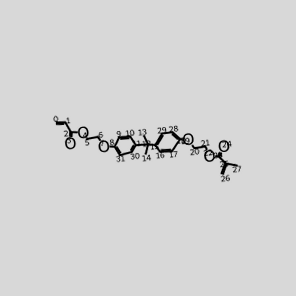 C=CC(=O)OCCOc1ccc(C(C)(C)c2ccc(OCCOC(=O)C(=C)C)cc2)cc1